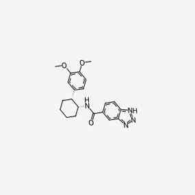 COc1ccc([C@H]2CCCC[C@H]2NC(=O)c2ccc3[nH]nnc3c2)cc1OC